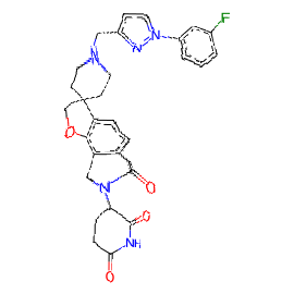 O=C1CCC(N2Cc3c(ccc4c3OCC43CCN(Cc4ccn(-c5cccc(F)c5)n4)CC3)C2=O)C(=O)N1